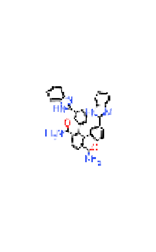 NC(=O)c1ccc(C(N)=O)c(-c2cccc(-c3nc4ccccc4[nH]3)c2)c1-c1cccc(-c2nc3ccccc3[nH]2)c1